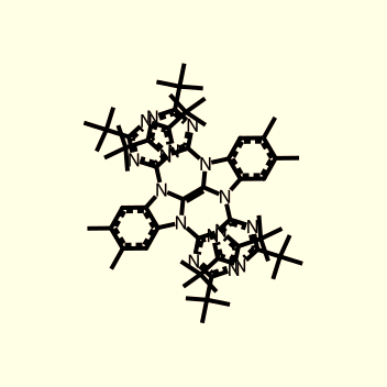 Cc1cc2c(cc1C)N(c1nc(C(C)(C)C)nc(C(C)(C)C)n1)C(=C1N(c3nc(C(C)(C)C)nc(C(C)(C)C)n3)c3cc(C)c(C)cc3N1c1nc(C(C)(C)C)nc(C(C)(C)C)n1)N2c1nc(C(C)(C)C)nc(C(C)(C)C)n1